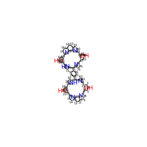 Oc1c2cccc1c1ccc3ccc4ccc(nc4c3n1)c1cccc(c1O)c1ccc([nH]1)c(-c1ccc(-c3c4nc(c5cccc(c5O)c5ccc6ccc7ccc(nc7c6n5)c5cccc(c5O)c5ccc3[nH]5)C=C4)cc1)c1nc2C=C1